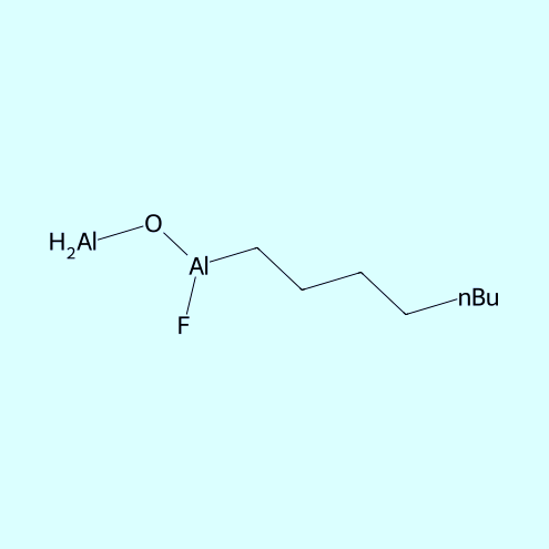 CCCCCCC[CH2][Al]([F])[O][AlH2]